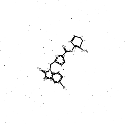 NC1=C(NC(=O)c2ccc(Cn3c(=O)[nH]c4cc(Br)ccc43)s2)C=CCC1